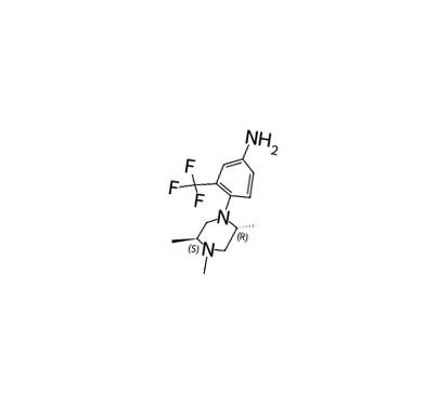 C[C@@H]1CN(C)[C@@H](C)CN1c1ccc(N)cc1C(F)(F)F